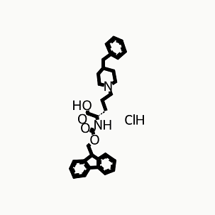 Cl.O=C(N[C@@H](CCCN1CCC(Cc2ccccc2)CC1)C(=O)O)OCC1c2ccccc2-c2ccccc21